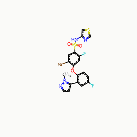 Cn1nccc1-c1cc(F)ccc1Oc1cc(F)c(S(=O)(=O)Nc2cscn2)cc1Br